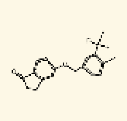 Cc1ccc(COc2ccc3c(c2)CCC3=O)cc1C(F)(F)F